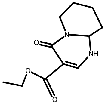 CCOC(=O)C1=CNC2CCCCN2C1=O